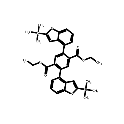 CCOC(=O)c1cc(-c2cccc3sc([Si](C)(C)C)cc23)c(C(=O)OCC)cc1-c1cccc2sc([Si](C)(C)C)cc12